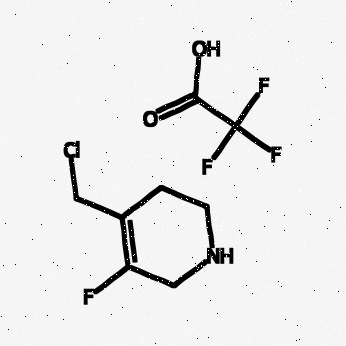 FC1=C(CCl)CCNC1.O=C(O)C(F)(F)F